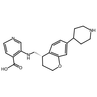 O=C(O)c1ccncc1NC[C@H]1CCOc2cc(C3CCNCC3)ccc21